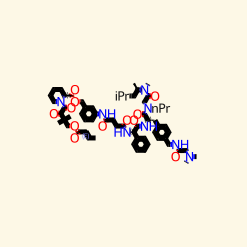 C/C=C/C(=O)OCC(C)(C)C(=O)C(=O)N1CCCC[C@H]1C(=O)OCc1cccc(NC(=O)CCC(=O)N[C@H](C(=O)N[C@@H](Cc2ccc(CNC(=O)CN(C)C)cc2)C(=O)N(CCC)CC(=O)N(C)[C@H](C)CC(C)C)c2ccccc2)c1